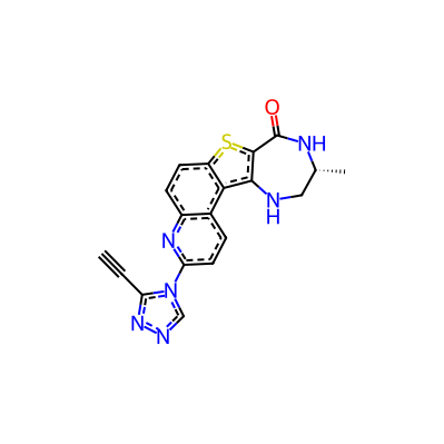 C#Cc1nncn1-c1ccc2c(ccc3sc4c(c32)NC[C@@H](C)NC4=O)n1